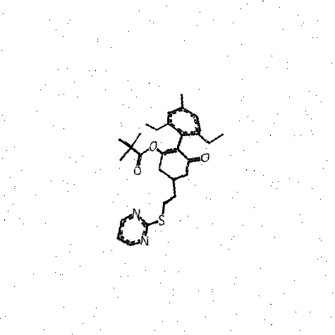 CCc1cc(C)cc(CC)c1C1=C(OC(=O)C(C)(C)C)CC(CCSc2ncccn2)CC1=O